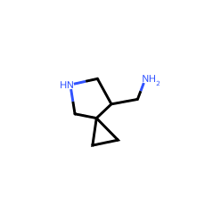 NCC1CNCC12CC2